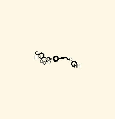 O=C1CCC(N2C[C@H](c3ccc(C#CCCOC4CCNCC4)cc3)OC2=O)C(=O)N1